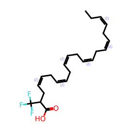 CC/C=C\C/C=C\C/C=C\C/C=C\C/C=C\C/C=C\CC(C(=O)O)C(F)(F)F